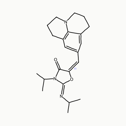 CC(C)N=C1O/C(=C/c2cc3c4c(c2)CCCN4CCC3)C(=O)N1C(C)C